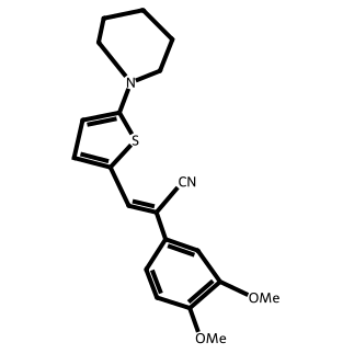 COc1ccc(C(C#N)=Cc2ccc(N3CCCCC3)s2)cc1OC